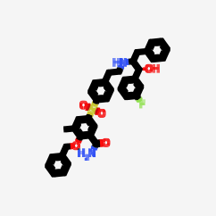 Cc1cc(S(=O)(=O)c2ccc(CCNC(Cc3ccccc3)[C@H](O)c3cccc(F)c3)cc2)cc(C(N)=O)c1OCc1ccccc1